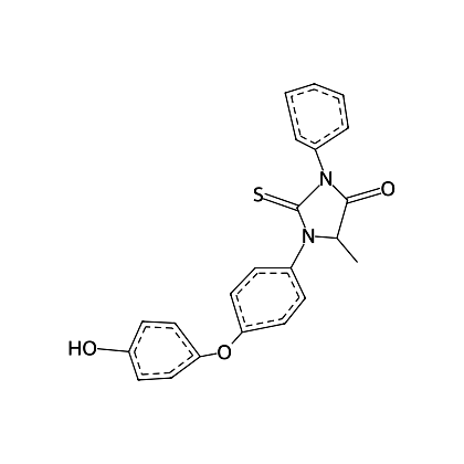 CC1C(=O)N(c2ccccc2)C(=S)N1c1ccc(Oc2ccc(O)cc2)cc1